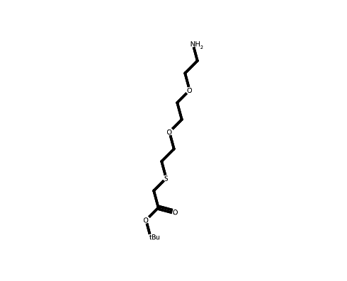 CC(C)(C)OC(=O)CSCCOCCOCCN